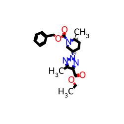 CCOC(=O)c1nn([C@@H]2CC[C@@H](C)N(C(=O)OCc3ccccc3)C2)nc1C